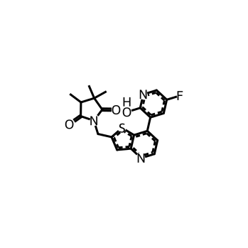 CC1C(=O)N(Cc2cc3nccc(-c4cc(F)cnc4O)c3s2)C(=O)C1(C)C